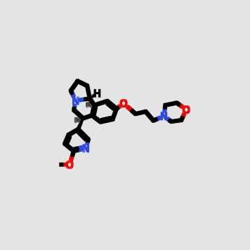 COc1ccc([C@H]2CN3CCC[C@H]3c3cc(OCCCN4CCOCC4)ccc32)cn1